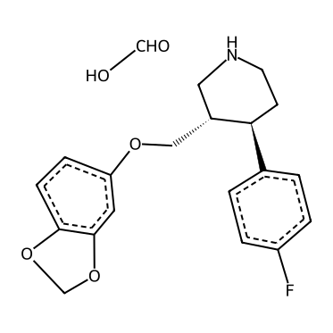 Fc1ccc([C@@H]2CCNC[C@H]2COc2ccc3c(c2)OCO3)cc1.O=CO